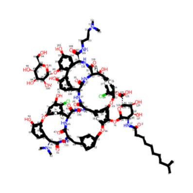 CC(C)CCCCCCCC(=O)N[C@H]1C(Oc2c3cc4cc2Oc2ccc(cc2Cl)[C@@H](O)[C@@H]2NC(=O)[C@H](NC(=O)[C@@H]4NC(=O)[C@H]4NC(=O)[C@@H](Cc5ccc(cc5)O3)NC(=O)[C@H](N(C)C)c3ccc(O)c(c3)Oc3cc(O)c(Cl)c4c3)c3ccc(O)c(c3)-c3c(O[C@H]4O[C@H](CO)[C@@H](O)[C@H](O)[C@@H]4O)cc(O)cc3[C@@H](C(=O)NCCCN(C)C)NC2=O)O[C@H](C(=O)O)[C@@H](O)[C@@H]1O